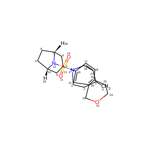 CC1CCN(C2C[C@H]3CC[C@@H](C2)N3S(=O)(=O)c2ccc3c(c2)COCC3)CC1